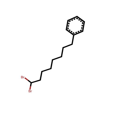 BrC(Br)CCCCCCCc1ccccc1